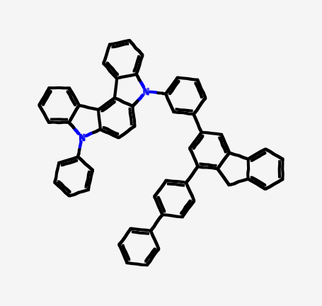 c1ccc(-c2ccc(-c3cc(-c4cccc(-n5c6ccccc6c6c7c8ccccc8n(-c8ccccc8)c7ccc65)c4)cc4c3Cc3ccccc3-4)cc2)cc1